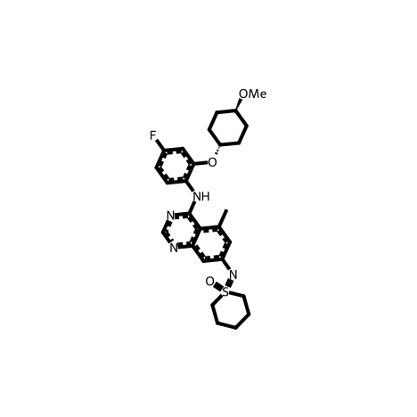 CO[C@H]1CC[C@H](Oc2cc(F)ccc2Nc2ncnc3cc(N=S4(=O)CCCCC4)cc(C)c23)CC1